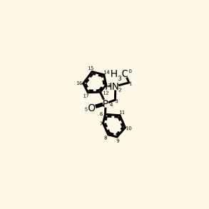 CCNCP(=O)(c1ccccc1)c1ccccc1